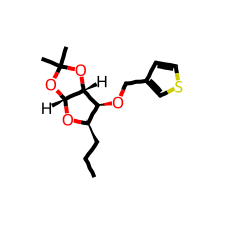 CCC[C@H]1O[C@@H]2OC(C)(C)O[C@@H]2[C@H]1OCc1ccsc1